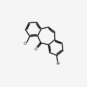 O=c1c2cc(Br)ccc2ccc2cccc(Cl)c12